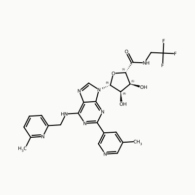 Cc1cncc(-c2nc(NCc3cccc(C)n3)c3ncn([C@@H]4O[C@H](C(=O)NCC(F)(F)F)[C@@H](O)[C@H]4O)c3n2)c1